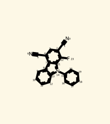 N#Cc1cc(C#N)c2c3ccccc3n(-c3ccccc3)c2c1F